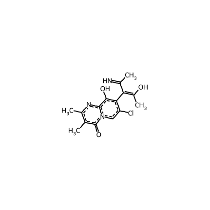 CC(=N)/C(=C(/C)O)c1c(Cl)cn2c(=O)c(C)c(C)nc2c1O